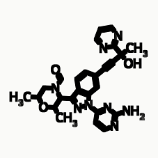 CC1CN(C=O)C(c2nn(-c3ccnc(N)n3)c3cc(C#CC(C)(O)c4ncccn4)ccc23)C(C)O1